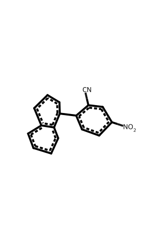 N#Cc1cc([N+](=O)[O-])ccc1-c1cccc2ccccc12